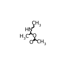 CCNC(C)OC(C)=O